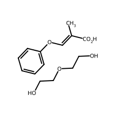 CC(=COc1ccccc1)C(=O)O.OCCOCCO